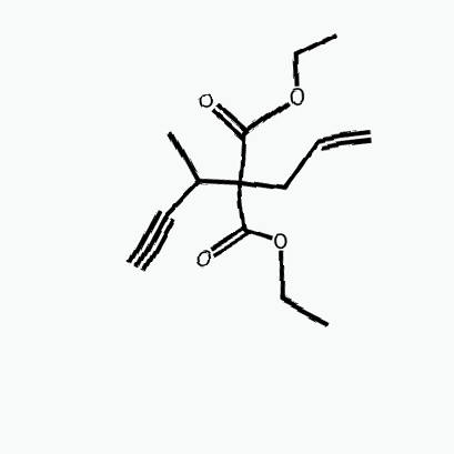 C#CC(C)C(CC=C)(C(=O)OCC)C(=O)OCC